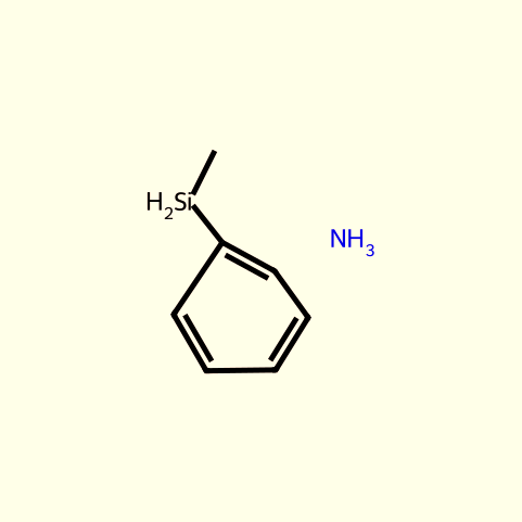 C[SiH2]c1ccccc1.N